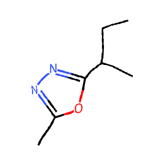 CCC(C)c1nnc(C)o1